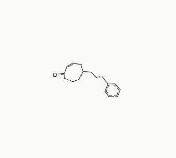 O=C1C=CCC(CCCc2ccccc2)CCC1